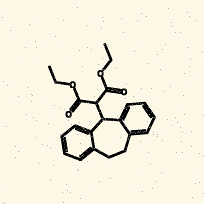 CCOC(=O)C(C(=O)OCC)C1c2ccccc2CCc2ccccc21